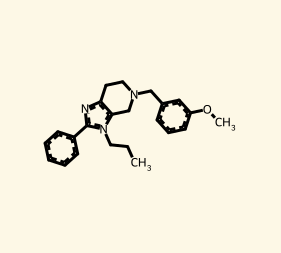 CCCn1c(-c2ccccc2)nc2c1CN(Cc1cccc(OC)c1)CC2